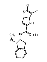 CN[C@H]1c2ccccc2C[C@H]1NC(=O)C1=CC2SC(Cl)=C(Cl)C2N1.Cl